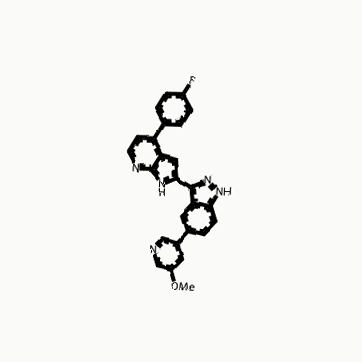 COc1cncc(-c2ccc3[nH]nc(-c4cc5c(-c6ccc(F)cc6)ccnc5[nH]4)c3c2)c1